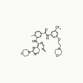 C=N/C=N\C(Nc1cc(C(=O)Nc2cc(OCCN3CCOCC3)cc(C(F)(F)F)c2)ccc1C)=C1/CC=NC(N2CCOCC2)=N1